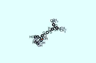 CCN(CC)c1ccc2c(-c3ccc(C(=O)NC4CCC(NC(=O)c5ccc(-c6c7ccc(=O)c(N(CC(=O)O)CC(=O)O)c-7oc7c(N(CC(=O)O)CC(=O)O)c(O)ccc67)c(C(=O)O)c5)CC4)cc3S)c3ccc(=[N+](CC)CC)cc-3oc2c1